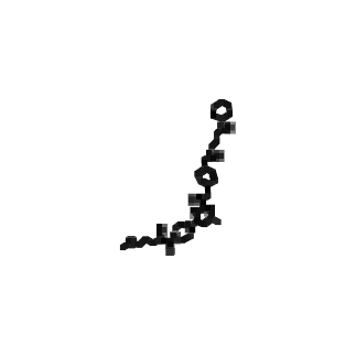 COCCCNC(=S)N1CCN(c2cc(C)nc(NCc3ccc(CNCCCNC4CCCCC4)cc3)n2)CC1